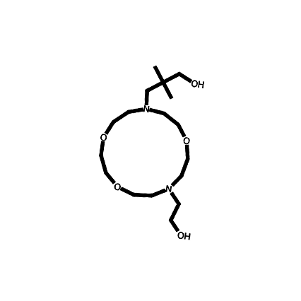 CC(C)(CO)CN1CCOCCOCCN(CCO)CCOCC1